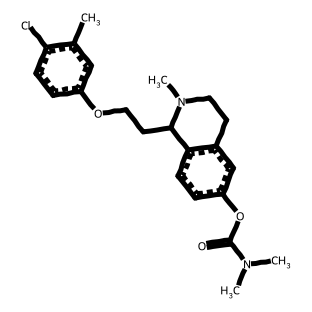 Cc1cc(OCCC2c3ccc(OC(=O)N(C)C)cc3CCN2C)ccc1Cl